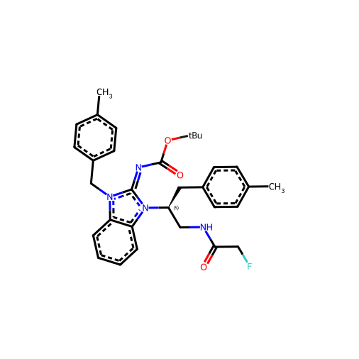 Cc1ccc(C[C@@H](CNC(=O)CF)n2c(=NC(=O)OC(C)(C)C)n(Cc3ccc(C)cc3)c3ccccc32)cc1